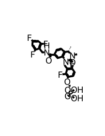 C[C@H]1c2ccc(C(=O)NCc3c(F)cc(F)cc3F)cc2N(Cc2c(F)ccc(OCOP(=O)(O)O)c2F)C(=O)N1C